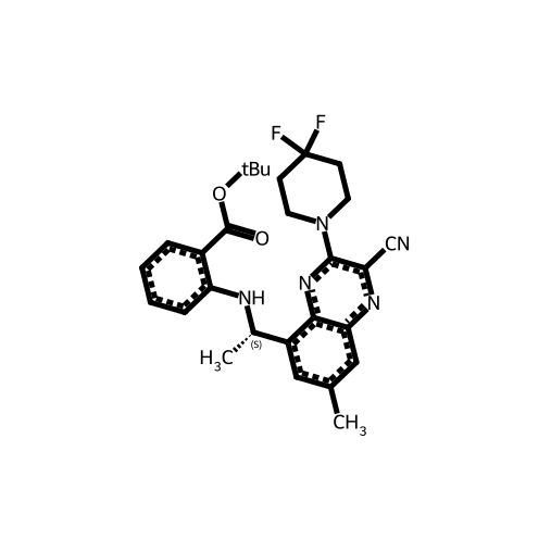 Cc1cc([C@H](C)Nc2ccccc2C(=O)OC(C)(C)C)c2nc(N3CCC(F)(F)CC3)c(C#N)nc2c1